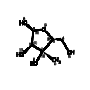 C[C@@]1(O)[C@@H](CO)O[C@H](O)[C@@H]1O